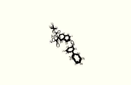 COC(=O)C1(NC(=O)OC(C)(C)C)CCc2ccc(Oc3cccc(-c4ccccc4)c3)cc2C1